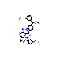 C[C@H]1CC[C@](C)(c2nc(-c3ccc([C@H](C)c4cccc(C(F)(F)F)c4)cc3)c3c(N)nccn23)C1